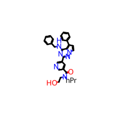 CCCN(CCO)C(=O)c1cncc(-c2nc(NCc3ccccc3)c3c(-c4ccccc4)ccn3n2)c1